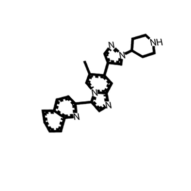 Cc1cn2c(-c3ccc4ccccc4n3)cnc2cc1-c1cnn(C2CCNCC2)c1